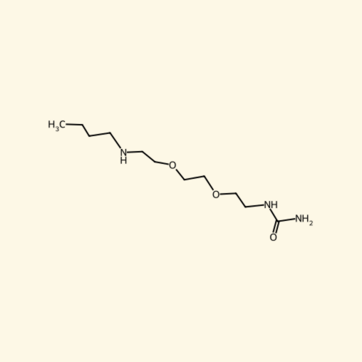 CCCCNCCOCCOCCNC(N)=O